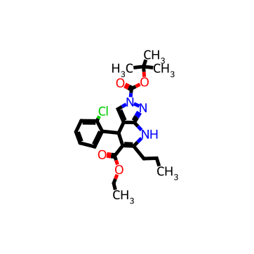 CCCC1=C(C(=O)OCC)C(c2ccccc2Cl)c2cn(C(=O)OC(C)(C)C)nc2N1